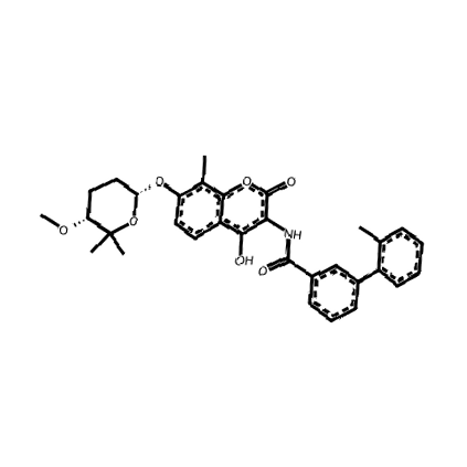 CO[C@@H]1CC[C@H](Oc2ccc3c(O)c(NC(=O)c4cccc(-c5ccccc5C)c4)c(=O)oc3c2C)OC1(C)C